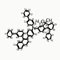 CC1(C)c2cc(N(c3ccc(-c4ccccc4)cc3)c3ccc(-c4ccc5ccccc5c4-c4cccc(-c5ccccc5)c4)cc3)ccc2-c2c(-c3ccccc3)cccc21